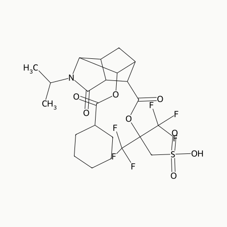 CC(C)N1C(=O)C2C3CC(C(OC(=O)C4CCCCC4)C31)C2C(=O)OC(CS(=O)(=O)O)(C(F)(F)F)C(F)(F)F